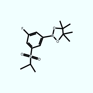 CC(C)S(=O)(=O)c1cc(F)cc(B2OC(C)(C)C(C)(C)O2)c1